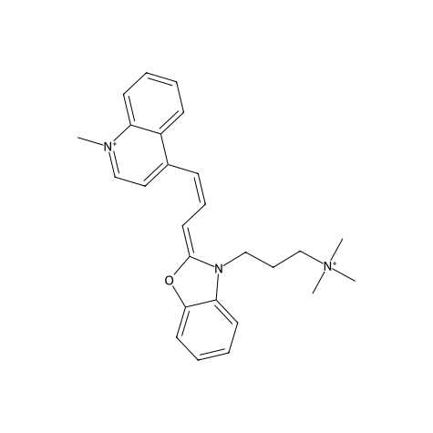 C[n+]1ccc(/C=C\C=C2\Oc3ccccc3N2CCC[N+](C)(C)C)c2ccccc21